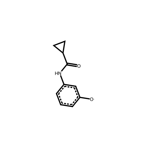 [O]c1cccc(NC(=O)C2CC2)c1